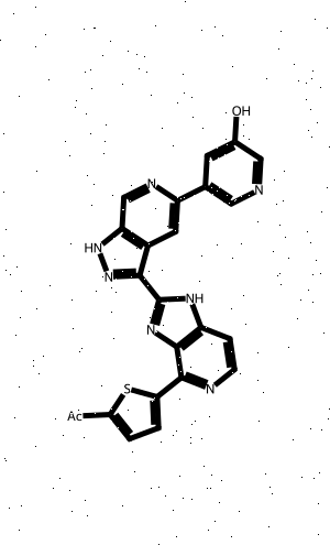 CC(=O)c1ccc(-c2nccc3[nH]c(-c4n[nH]c5cnc(-c6cncc(O)c6)cc45)nc23)s1